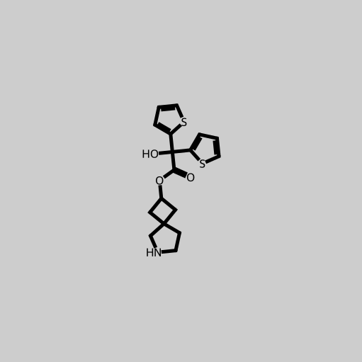 O=C(OC1CC2(CCNC2)C1)C(O)(c1cccs1)c1cccs1